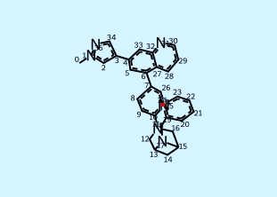 Cn1cc(-c2cc(-c3ccc(N4CC5CC(C4)N5Cc4ccccn4)nc3)c3cccnc3c2)cn1